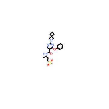 CC(/C=C/S(C)(=O)=O)NC(=O)c1cnc(N2CC3(CCC3)C2)nc1Oc1ccccc1